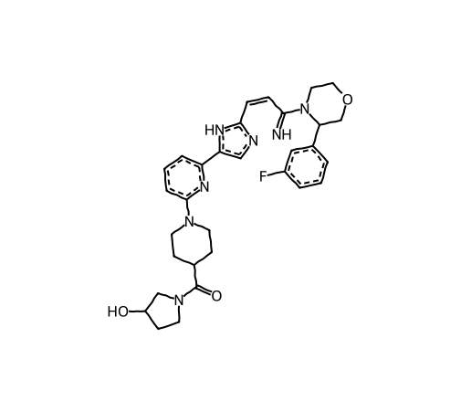 N=C(/C=C\c1ncc(-c2cccc(N3CCC(C(=O)N4CCC(O)C4)CC3)n2)[nH]1)N1CCOCC1c1cccc(F)c1